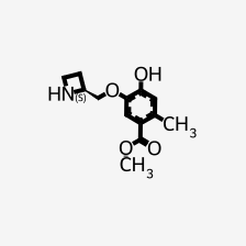 COC(=O)c1cc(OC[C@@H]2CCN2)c(O)cc1C